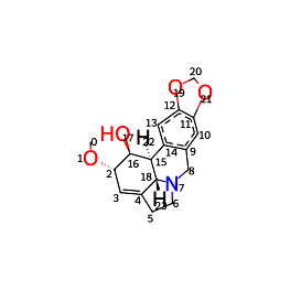 CO[C@H]1C=C2CCN3Cc4cc5c(cc4[C@H]([C@@H]1O)[C@@H]23)OCO5